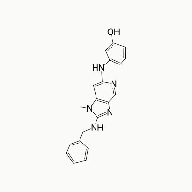 Cn1c(NCc2ccccc2)nc2cnc(Nc3cccc(O)c3)cc21